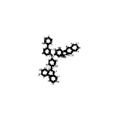 c1ccc(-c2cccc(N(c3ccc(-c4cc5ccccc5c5ccccc45)cc3)c3ccc4c(c3)sc3cc5ccccc5cc34)c2)cc1